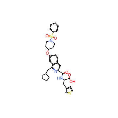 O=C(NC(Cc1ccsc1)C(=O)O)c1cc2ccc(OC3CCN(S(=O)(=O)c4ccccc4)CC3)cc2c(CC2CCCC2)n1